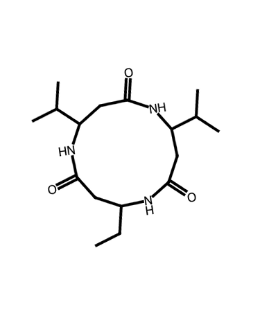 CCC1CC(=O)NC(C(C)C)CC(=O)NC(C(C)C)CC(=O)N1